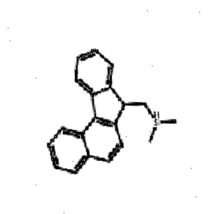 C[SiH](C)CC1c2ccccc2-c2c1ccc1ccccc21